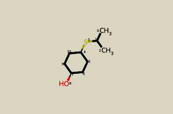 CC(C)S[C@H]1CC[C@@H](O)CC1